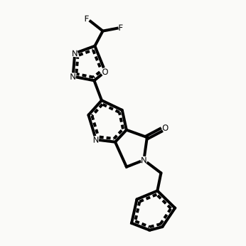 O=C1c2cc(-c3nnc(C(F)F)o3)cnc2CN1Cc1ccccc1